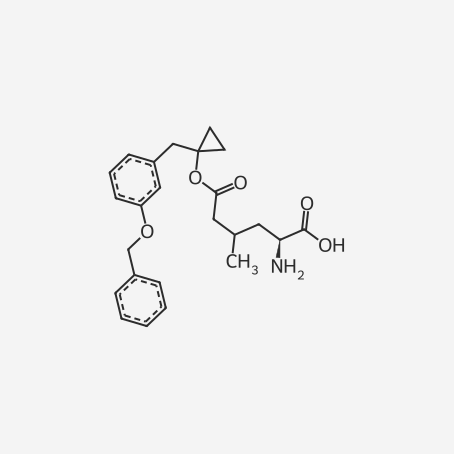 CC(CC(=O)OC1(Cc2cccc(OCc3ccccc3)c2)CC1)C[C@H](N)C(=O)O